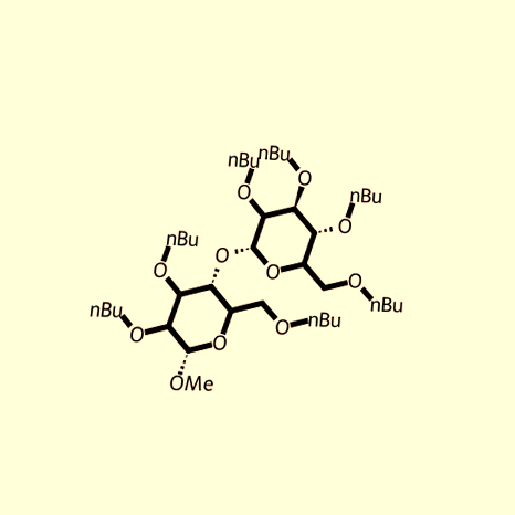 CCCCOCC1O[C@H](OC)C(OCCCC)C(OCCCC)[C@@H]1O[C@H]1OC(COCCCC)[C@@H](OCCCC)[C@H](OCCCC)C1OCCCC